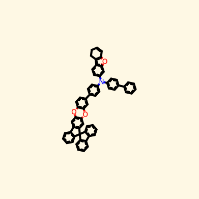 C1=Cc2oc3cc(N(c4ccc(-c5ccccc5)cc4)c4ccc(-c5ccc6c(c5)Oc5cc7c(cc5O6)-c5ccccc5C75c6ccccc6-c6ccccc65)cc4)ccc3c2CC1